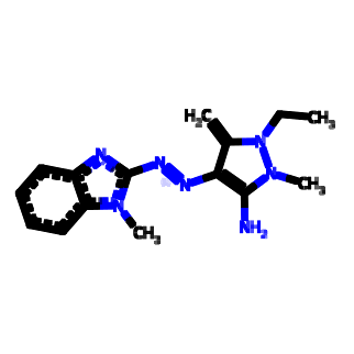 C=C1C(/N=N/c2nc3ccccc3n2C)=C(N)N(C)N1CC